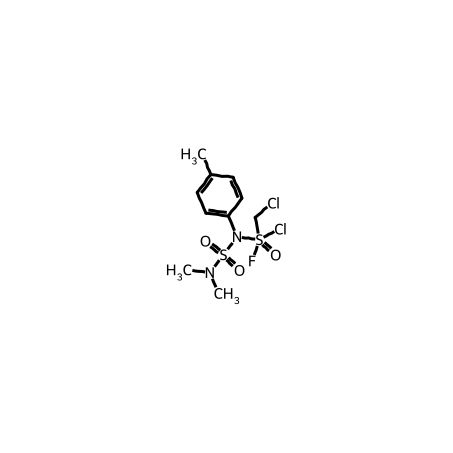 Cc1ccc(N(S(=O)(=O)N(C)C)S(=O)(F)(Cl)CCl)cc1